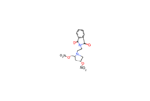 O=C1c2ccccc2C(=O)N1CCN1CC(O[N+](=O)[O-])CC1CO[N+](=O)[O-]